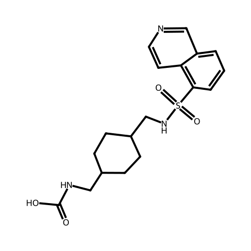 O=C(O)NCC1CCC(CNS(=O)(=O)c2cccc3cnccc23)CC1